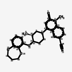 C[C@@H]1CN(c2cc(=O)n(C)c3ccc(C#N)nc23)CC[C@H]1Oc1cccc2c1OCCCO2